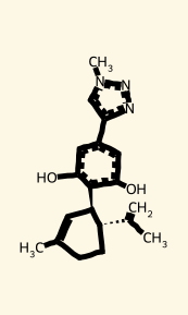 C=C(C)[C@@H]1CCC(C)=C[C@H]1c1c(O)cc(-c2cn(C)nn2)cc1O